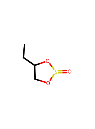 CCC1COS(=O)O1